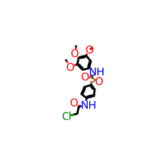 COc1cc(NS(=O)(=O)c2ccc(NC(=O)CCl)cc2)cc(OC)c1OC